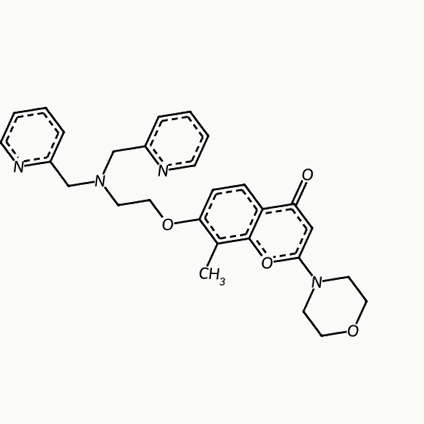 Cc1c(OCCN(Cc2ccccn2)Cc2ccccn2)ccc2c(=O)cc(N3CCOCC3)oc12